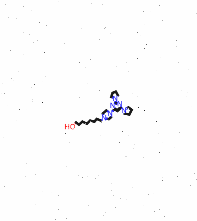 OCCCCCCCCN1CCN(c2cc(N3CCCC3)nc(N3CCCC3)n2)CC1